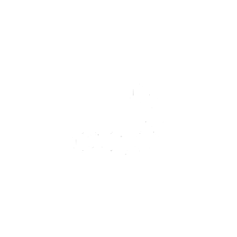 Cc1ccc(Oc2ccc(C(=O)c3ccc(Oc4ccc(N(C)c5ccccc5)cc4)cc3)cc2)cc1